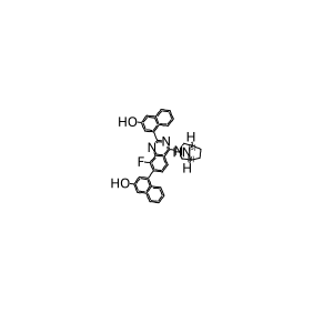 Oc1cc(-c2nc(N3C[C@H]4CC[C@@H](C3)N4)c3ccc(-c4cc(O)cc5ccccc45)c(F)c3n2)c2ccccc2c1